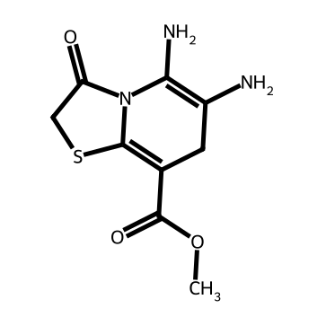 COC(=O)C1=C2SCC(=O)N2C(N)=C(N)C1